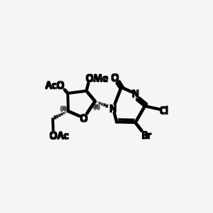 COC1C(OC(C)=O)[C@@H](COC(C)=O)O[C@H]1n1cc(Br)c(Cl)nc1=O